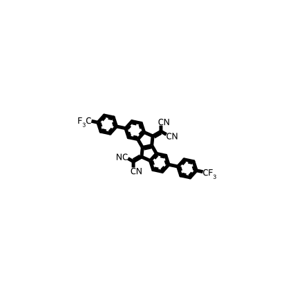 N#CC(C#N)=C1C2=C(C(=C(C#N)C#N)c3ccc(-c4ccc(C(F)(F)F)cc4)cc32)c2cc(-c3ccc(C(F)(F)F)cc3)ccc21